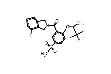 CC(Oc1ccc(S(C)(=O)=O)cc1C(=O)N1Cc2cccc(I)c2C1)C(F)(F)F